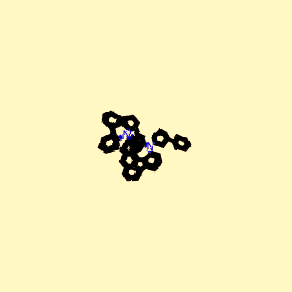 c1ccc(-c2cccc(N(c3ccc4c(c3)c3ccccc3n4-c3ccccc3-c3ccccc3)c3cccc4c3-c3c5ccccc5cc5cccc-4c35)c2)cc1